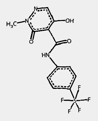 Cn1ncc(O)c(C(=O)Nc2ccc(S(F)(F)(F)(F)F)cc2)c1=O